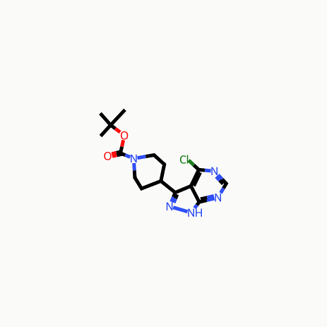 CC(C)(C)OC(=O)N1CCC(c2n[nH]c3ncnc(Cl)c23)CC1